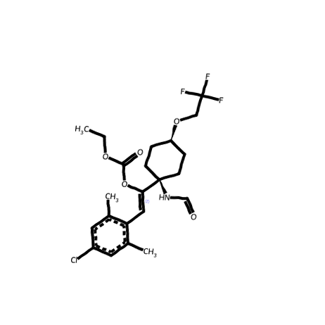 CCOC(=O)O/C(=C\c1c(C)cc(Cl)cc1C)[C@]1(NC=O)CC[C@@H](OCC(F)(F)F)CC1